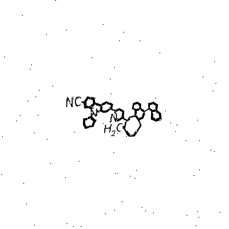 C=C1/C=C\C=C/Cc2cc(-c3cccc4ccccc34)c3ccccc3c2/C=C\1c1ccc(-c2ccc3c4ccc(C#N)cc4n(-c4ccccc4)c3c2)nc1